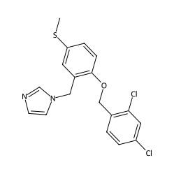 CSc1ccc(OCc2ccc(Cl)cc2Cl)c(Cn2ccnc2)c1